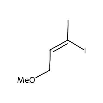 [CH2]OC/C=C(/C)I